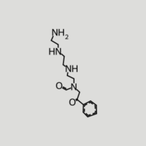 NCCNCCNCCN(C=O)CC(=O)c1ccccc1